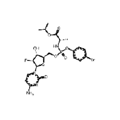 CC(C)OC(=O)[C@H](C)NP(=O)(OC[C@H]1S[C@@H](n2ccc(N)nc2=O)[C@@H](F)[C@@H]1O)Oc1ccc(Br)cc1